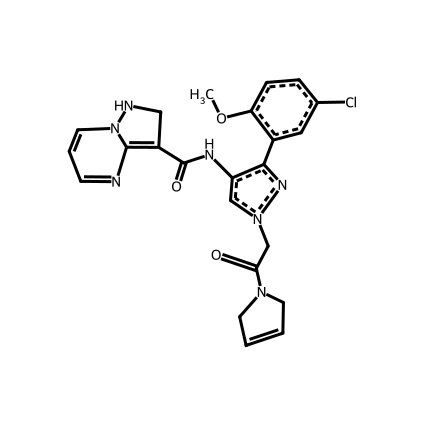 COc1ccc(Cl)cc1-c1nn(CC(=O)N2CC=CC2)cc1NC(=O)C1=C2N=CC=CN2NC1